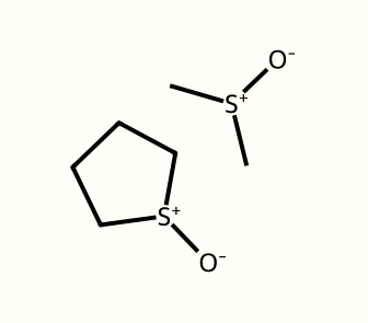 C[S+](C)[O-].[O-][S+]1CCCC1